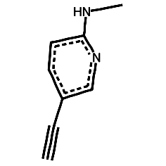 C#Cc1ccc(NC)nc1